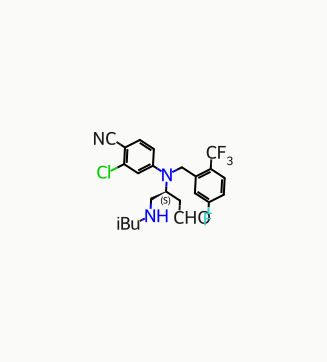 CCC(C)NC[C@H](CC=O)N(Cc1cc(F)ccc1C(F)(F)F)c1ccc(C#N)c(Cl)c1